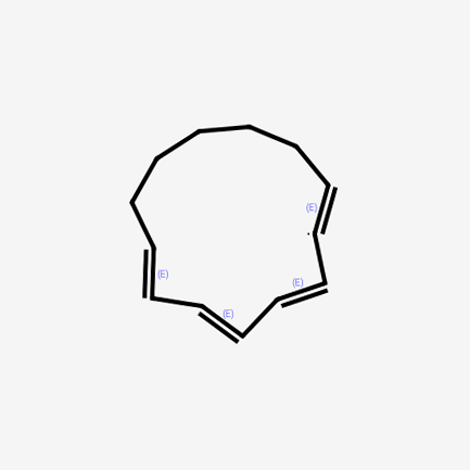 [C]1=C/CCCCC/C=C/C=C/C=C/1